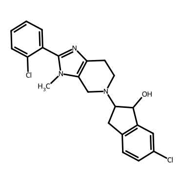 Cn1c(-c2ccccc2Cl)nc2c1CN(C1Cc3ccc(Cl)cc3C1O)CC2